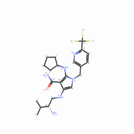 CC(C)[C@@H](N)CNc1cn(Cc2ccc(C(F)(F)F)nc2)c(NC2CCCC2)c1C(N)=O